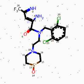 N=C(/C=C(\N)C(=O)N(CCN1CC[S+]([O-])CC1)Cc1c(Cl)cccc1Cl)C(F)(F)F